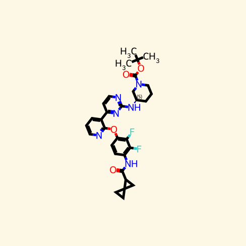 CC(C)(C)OC(=O)N1CCC[C@H](Nc2nccc(-c3cccnc3Oc3ccc(NC(=O)C4CC45CC5)c(F)c3F)n2)C1